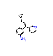 Nc1cccc(/C(=C\CC2CC2)c2cccnc2)c1